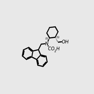 O=C(O)N(CC1c2ccccc2-c2ccccc21)[C@H]1CCCC[C@@H]1CO